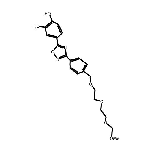 COCOCCOCCOCc1ccc(-c2noc(-c3ccc(O)c(C(F)(F)F)c3)n2)cc1